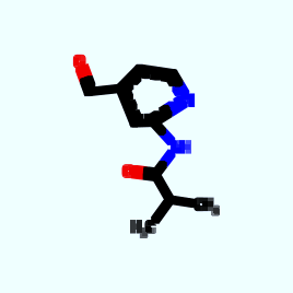 CC(C)C(=O)Nc1cc(C=O)ccn1